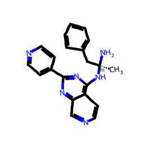 C[C@@](N)(Cc1ccccc1)Nc1nc(-c2ccncc2)nc2cnccc12